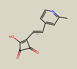 Cc1cc(/C=C/c2c(O)c(=O)c2=O)ccn1